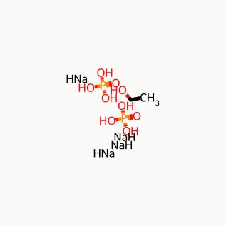 CCO.O=P(O)(O)O.O=P(O)(O)O.[NaH].[NaH].[NaH].[NaH]